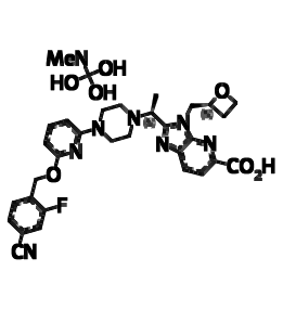 CNC(O)(O)O.C[C@@H](c1nc2ccc(C(=O)O)nc2n1C[C@@H]1CCO1)N1CCN(c2cccc(OCc3ccc(C#N)cc3F)n2)CC1